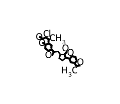 Cc1coc2cc3oc(=O)c4c(c3cc12)CCC4Cc1coc2cc3oc(=O)c(Cl)c(C)c3cc12